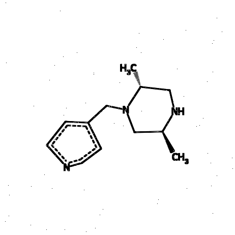 C[C@@H]1CN[C@@H](C)CN1Cc1ccncc1